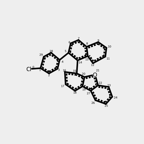 Clc1ccc(-c2ccc3ccccc3c2-c2cccc3c2oc2ccccc23)cc1